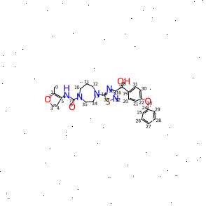 Cc1occc1NC(=O)N1CCCN(c2nc(C(O)c3ccc(Oc4ccccc4)cc3)ns2)CC1